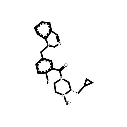 CC(C)N1CCN(C(=O)c2cc(CN3CN=Cc4ccccc43)ccc2F)C[C@@H]1CC1CC1